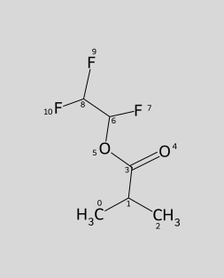 CC(C)C(=O)OC(F)C(F)F